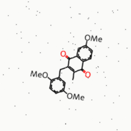 COc1ccc(OC)c(CC2=C(C)C(=O)c3ccc(OC)cc3C2=O)c1